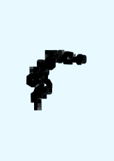 O=C(NS(=O)(=O)c1ccc(OCC2(F)CCN(C3COC3)CC2)c([N+](=O)[O-])c1)c1ccccc1N1CCCOc2nc3[nH]ccc3cc21